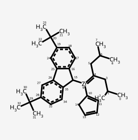 CC(C)C[C](CC(C)C)=[Zr]([C]1=CC=CC1)[CH]1c2ccc(C(C)(C)C)cc2-c2cc(C(C)(C)C)ccc21